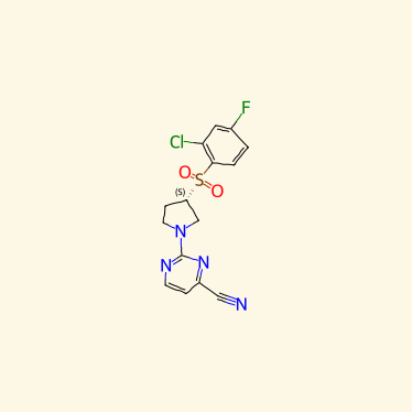 N#Cc1ccnc(N2CC[C@H](S(=O)(=O)c3ccc(F)cc3Cl)C2)n1